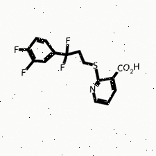 O=C(O)c1cccnc1SCCC(F)(F)c1ccc(F)c(F)c1